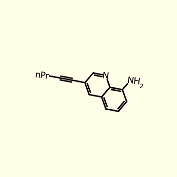 CCCC#Cc1cnc2c(N)cccc2c1